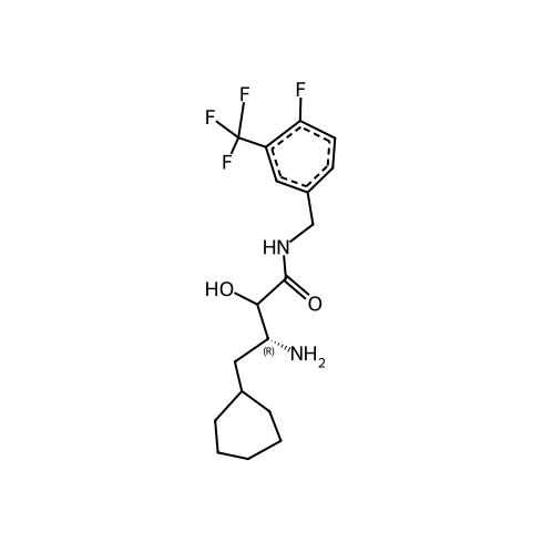 N[C@H](CC1CCCCC1)C(O)C(=O)NCc1ccc(F)c(C(F)(F)F)c1